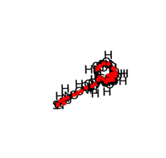 O=C1NCCN2CCNC(=O)C3=CCC[C@H](C(=O)NCCN(CCNC(=O)[C@H]4CCC=C(C(=O)NCC2)C4O)CCN(CCN[C@@H](O)C2=C(O)[C@@H](C(=O)NCCOCCOCCNC(=S)N[C@@H]4C=C[C@H](N=C=S)CC4)CC=C2)CCNC(=O)C2=C(O)C1=CCC2)C3O